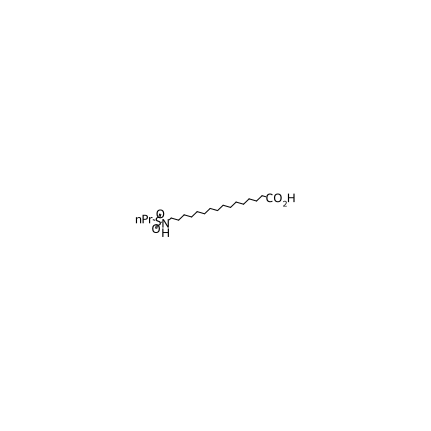 CCCS(=O)(=O)NCCCCCCCCCCCCCCCC(=O)O